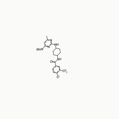 CNc1cc(C)nc(NC2CCC(NC(=O)c3ccc(Cl)c(C(F)(F)F)c3)CC2)n1